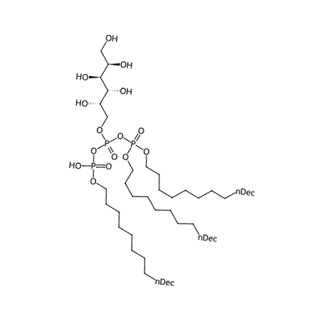 CCCCCCCCCCCCCCCCCCOP(=O)(O)OP(=O)(OC[C@H](O)[C@@H](O)[C@@H](O)[C@H](O)CO)OP(=O)(OCCCCCCCCCCCCCCCCCC)OCCCCCCCCCCCCCCCCCC